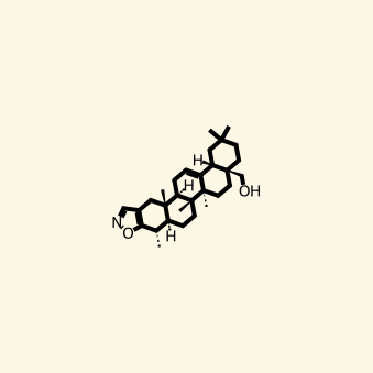 C[C@@H]1c2oncc2C[C@]2(C)[C@H]3CC=C4[C@@H]5CC(C)(C)CC[C@]5(CO)CC[C@@]4(C)[C@]3(C)CC[C@@H]12